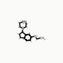 CCOc1ccc2c(c1)C(N1CCNCC1)CC2